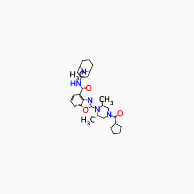 C[C@H]1CN(C(=O)C2CCCC2)C[C@H](C)N1c1nc2c(C(=O)NC3CC4CCCC(C3)N4C)cccc2o1